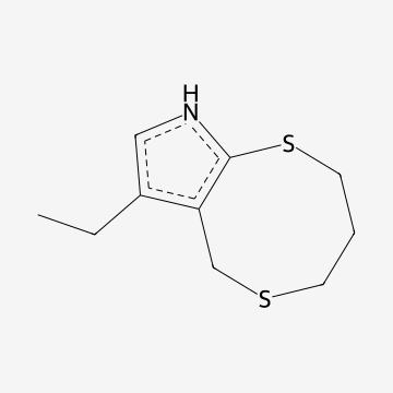 CCc1c[nH]c2c1CSCCCS2